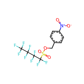 O=[N+]([O-])c1ccc(COS(=O)(=O)C(F)(F)C(F)(F)C(F)(F)C(F)(F)F)cc1